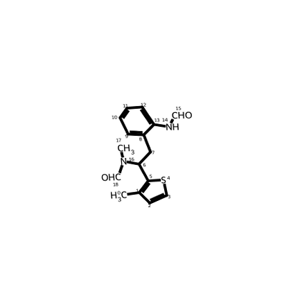 Cc1ccsc1C(Cc1ccccc1NC=O)N(C)C=O